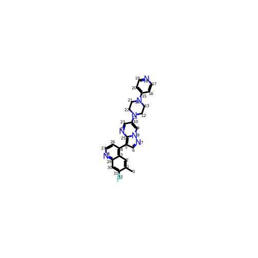 Cc1cc2c(-c3cnn4cc(N5CCN(c6ccncc6)CC5)cnc34)ccnc2cc1F